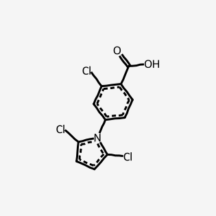 O=C(O)c1ccc(-n2c(Cl)ccc2Cl)cc1Cl